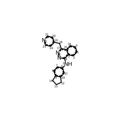 c1ccc2c(Nc3ccc4c(c3)CCC4)nnc(Cc3ccncc3)c2c1